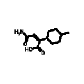 CC1CCC(C(=CC(N)=O)C(=O)O)CC1